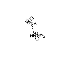 COC(C)c1ccccc1C(=O)NCCCCCC(=O)Nc1ccccc1N